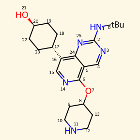 CC(C)(C)Nc1ncc2c(OC3CCNCC3)ncc([C@H]3CC[C@H](O)CC3)c2n1